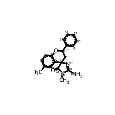 Cc1ccc2c(c1)C1(CC(c3ccccc3)O2)N=C(N)N(C)C1=O